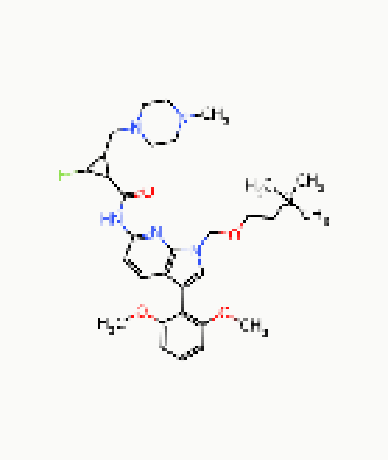 COc1cccc(OC)c1-c1cn(COCC[Si](C)(C)C)c2nc(NC(=O)C3C(F)C3CN3CCN(C)CC3)ccc12